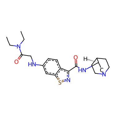 CCN(CC)C(=O)CNc1ccc2c(C(=O)N[C@@H]3CN4CCC3CC4)nsc2c1